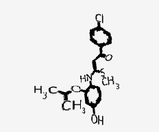 CS/C(=C\C(=O)c1ccc(Cl)cc1)Nc1ccc(O)cc1OC(C)C